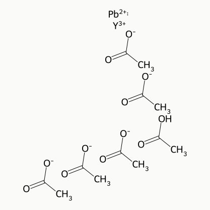 CC(=O)O.CC(=O)[O-].CC(=O)[O-].CC(=O)[O-].CC(=O)[O-].CC(=O)[O-].[Pb+2].[Y+3]